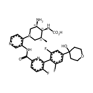 C[C@H]1CN(c2ccncc2NC(=O)c2ccc(F)c(-c3c(F)cc(C4(O)CCOCC4)cc3F)n2)C[C@@H](N)[C@H]1NC(=O)O